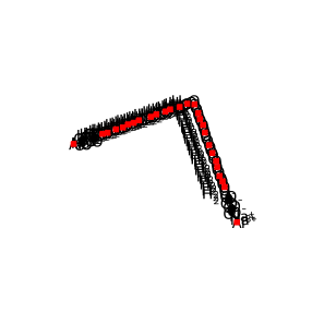 O.O.O.O.O.O.O.O.O.O.O.O.O.O.O.O.O.O.O.O.O.O.O.O.O.O.O.O.O.O.O.O.O.O.O.O.O.O.O.O.O.O.O.O.O.O.O.O.O.O.O.O.O.O.O.O.O.O.O.O.O.O.O.O.O.O.O=P([O-])([O-])[O-].O=S(=O)([O-])[O-].O=S(=O)([O-])[O-].O=S(=O)([O-])[O-].[Al+3].[Al+3].[Na+].[Na+].[Na+]